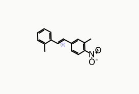 Cc1ccccc1/C=C/c1ccc([N+](=O)[O-])c(C)c1